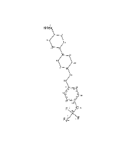 CCCCCCC1CCC(C2CCC(CCc3ccc(OC(F)(F)C(F)(F)F)cc3)CC2)CC1